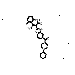 Nc1c(-c2nc3ccc(C(=O)N4CCN(C5CCCCC5)CC4)cc3[nH]2)c(=O)[nH]c2cccc(F)c12